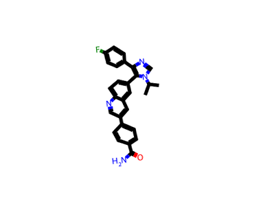 CC(C)n1cnc(-c2ccc(F)cc2)c1-c1ccc2ncc(-c3ccc(C(N)=O)cc3)cc2c1